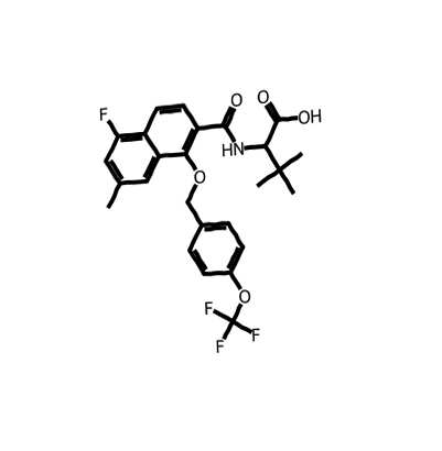 Cc1cc(F)c2ccc(C(=O)NC(C(=O)O)C(C)(C)C)c(OCc3ccc(OC(F)(F)F)cc3)c2c1